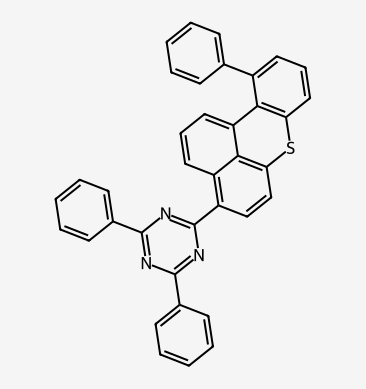 c1ccc(-c2nc(-c3ccccc3)nc(-c3ccc4c5c(cccc35)-c3c(cccc3-c3ccccc3)S4)n2)cc1